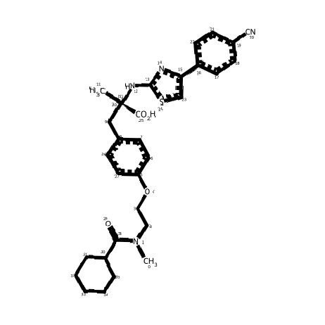 CN(CCOc1ccc(C[C@](C)(Nc2nc(-c3ccc(C#N)cc3)cs2)C(=O)O)cc1)C(=O)C1CCCCC1